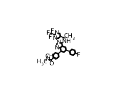 C[C@@H](Nc1ncnc2c(-c3ccc(C(=O)N(C)C)cc3)cc(-c3ccc(F)cc3)cc12)c1cnc(C(F)(F)F)nc1